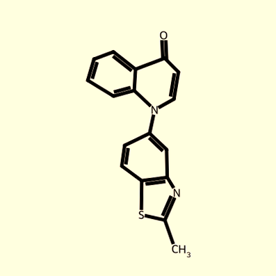 Cc1nc2cc(-n3ccc(=O)c4ccccc43)ccc2s1